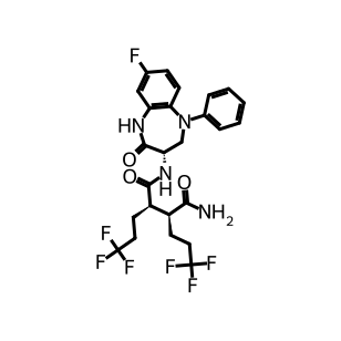 NC(=O)[C@@H](CCC(F)(F)F)[C@@H](CCC(F)(F)F)C(=O)N[C@H]1CN(c2ccccc2)c2ccc(F)cc2NC1=O